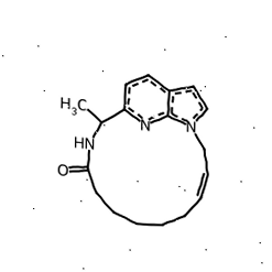 CC1NC(=O)CCCCCC=CCn2ccc3ccc1nc32